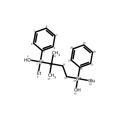 CC[N+](O)(c1ccccc1)C(C)(C)CC[N+](O)(c1ccccc1)C(C)(C)C